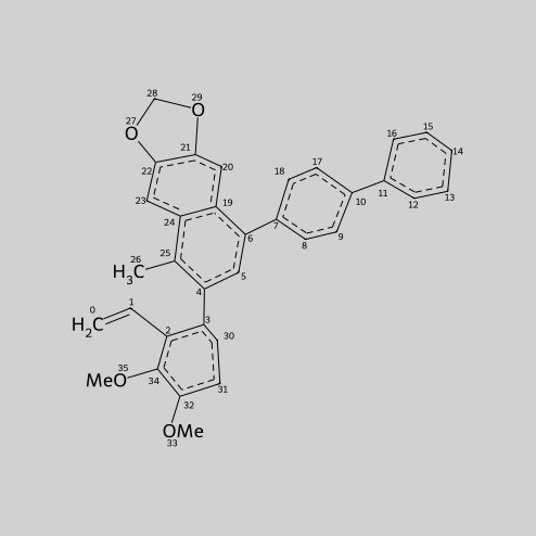 C=Cc1c(-c2cc(-c3ccc(-c4ccccc4)cc3)c3cc4c(cc3c2C)OCO4)ccc(OC)c1OC